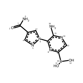 NC(=O)c1cnn(-c2nc(B(O)O)cnc2N)c1